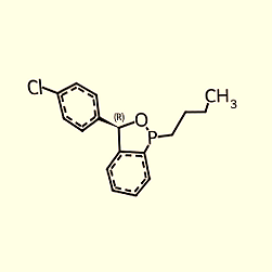 CCCCP1O[C@H](c2ccc(Cl)cc2)c2ccccc21